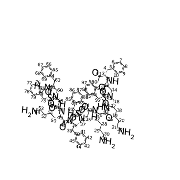 CC(=O)[C@H](Cc1ccccc1)NC(=O)CN(C[C@H](CCCCN)NC(=O)[C@H](CCCCN)NC(=O)CN(C[C@H](Cc1ccccc1)NC(=O)[C@H](CCCCN)NC(=O)CN(C[C@@H](N)Cc1ccccc1)S(=O)(=O)Cc1ccccc1)S(=O)(=O)Cc1ccccc1)S(=O)(=O)Cc1ccccc1